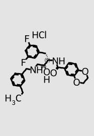 CCc1cccc(CNC[C@@H](O)[C@H](Cc2cc(F)cc(F)c2)NC(=O)c2ccc3c(c2)OCCO3)c1.Cl